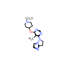 Cc1c(OC2CCN(C(=O)O)CC2)ncnc1N1CCc2nccn21